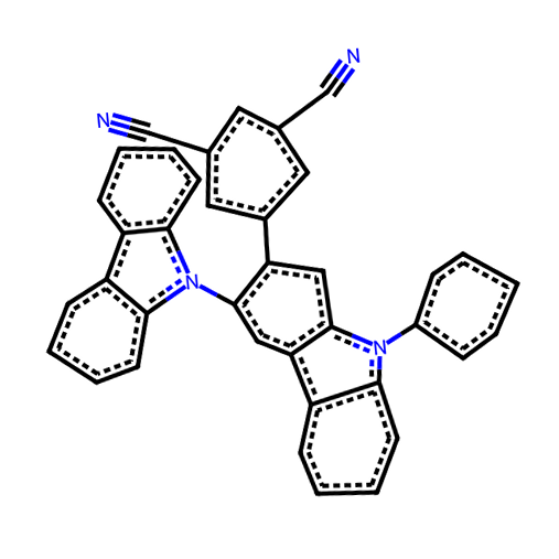 N#Cc1cc(C#N)cc(-c2cc3c(cc2-n2c4ccccc4c4ccccc42)c2ccccc2n3-c2ccccc2)c1